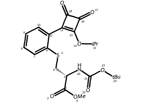 COC(=O)[C@H](CSc1ccccc1-c1c(OC(C)C)c(=O)c1=O)NC(=O)OC(C)(C)C